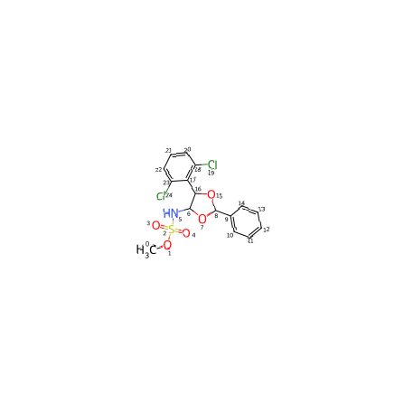 COS(=O)(=O)NC1OC(c2ccccc2)OC1c1c(Cl)cccc1Cl